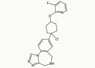 Fc1cccnc1OC1CCC(Cl)(c2ccc3c(c2)CNCc2nncn2-3)CC1